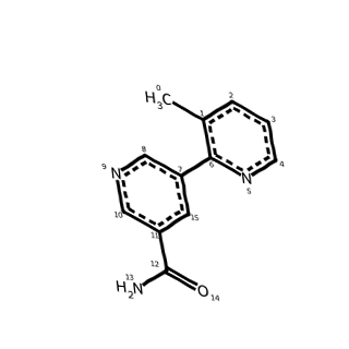 Cc1cccnc1-c1cncc(C(N)=O)c1